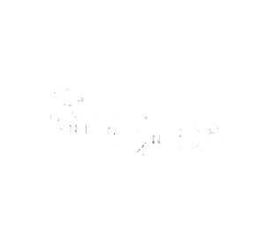 CCC(=O)NC(CCN1CCC2(CC1)CCN(Cc1ccc(OC)cc1)C2=O)c1cccs1